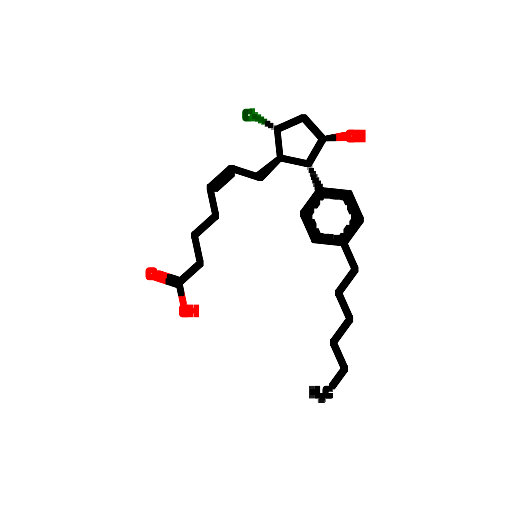 CCCCCCc1ccc([C@@H]2[C@@H](C/C=C\CCCC(=O)O)[C@H](Cl)C[C@H]2O)cc1